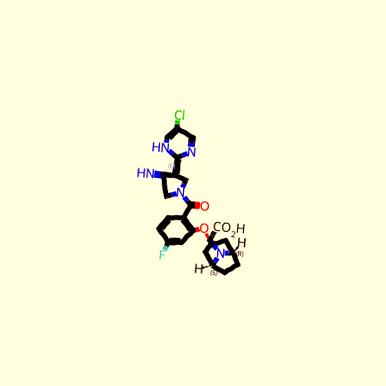 N=C1CN(C(=O)c2ccc(F)cc2O[C@H]2C[C@H]3CC[C@@H](C2)N3CC(=O)O)C/C1=C1\N=CC(Cl)=CN1